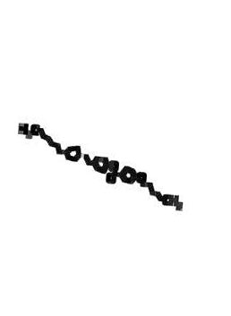 C=CCCCCOc1ccc(C(=O)Oc2ccc(CC[C@H]3CC[C@H](CCCCCCC)CC3)cc2)cc1